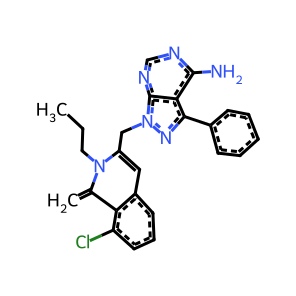 C=C1c2c(Cl)cccc2C=C(Cn2nc(-c3ccccc3)c3c(N)ncnc32)N1CCC